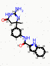 CC1(c2cccc(NC(=O)c3cc4ccccc4[nH]3)c2)CC(=O)NC(N)=N1